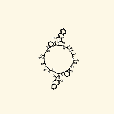 CCCN1CC(=O)N(C)[C@@H](C(C)C)C(=O)NC[C@@H](NC(=O)c2nc3ccccc3cc2O)C(=O)N2CCCC[C@H]2C(=O)NCC(=O)N(CCC)CC(=O)N(C)[C@@H](C(C)C)C(=O)NC[C@@H](NC(=O)c2nc3ccccc3cc2O)C(=O)N2CCCC[C@H]2C(=O)NCC1=O